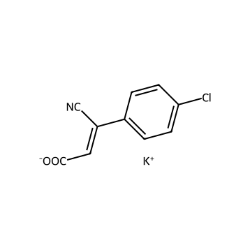 N#CC(=CC(=O)[O-])c1ccc(Cl)cc1.[K+]